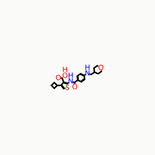 O=C(Nc1scc(C2CCC2)c1C(=O)O)c1ccc(NCC2CCOCC2)cc1